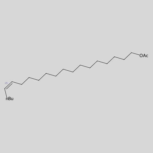 CCCC/C=C\CCCCCCCCCCCCCCOC(C)=O